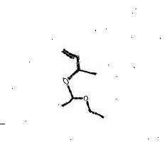 C=CC(C)OC(C)OCC